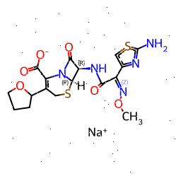 CO/N=C(\C(=O)N[C@@H]1C(=O)N2C(C(=O)[O-])=C(C3CCCO3)CS[C@H]12)c1csc(N)n1.[Na+]